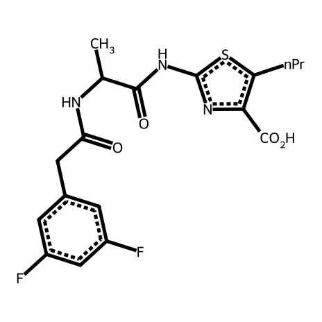 CCCc1sc(NC(=O)C(C)NC(=O)Cc2cc(F)cc(F)c2)nc1C(=O)O